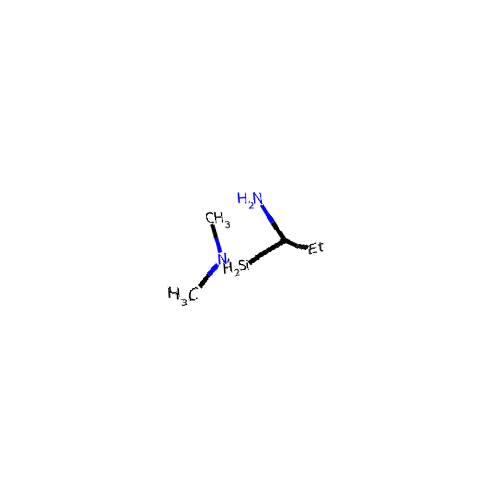 CCC(N)[SiH2]N(C)C